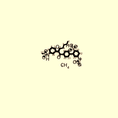 C.CCCCc1oc2ccc(NS(C)(=O)=O)cc2c1C(=O)c1ccc(-c2cc(N=S(=O)=O)ccc2S(=O)(=O)O)cc1